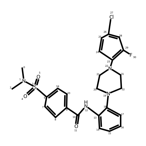 CN(C)S(=O)(=O)c1ccc(C(=O)Nc2ccccc2N2CCN(c3ccc(Cl)cc3F)CC2)cc1